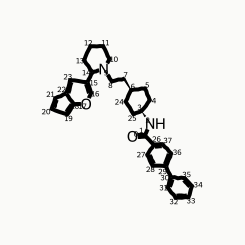 O=C(N[C@H]1CC[C@H](CCN2CCCCC2c2coc3cccc-3c2)CC1)c1ccc(-c2ccccc2)cc1